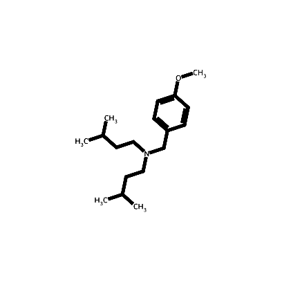 COc1ccc(CN(CCC(C)C)CCC(C)C)cc1